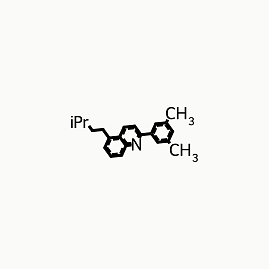 Cc1cc(C)cc(-c2ccc3c(CCC(C)C)cccc3n2)c1